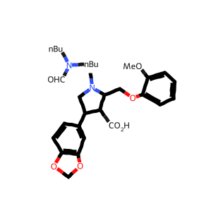 CCCCN(C=O)CCCC.COc1ccccc1OCC1C(C(=O)O)C(c2ccc3c(c2)OCO3)CN1C